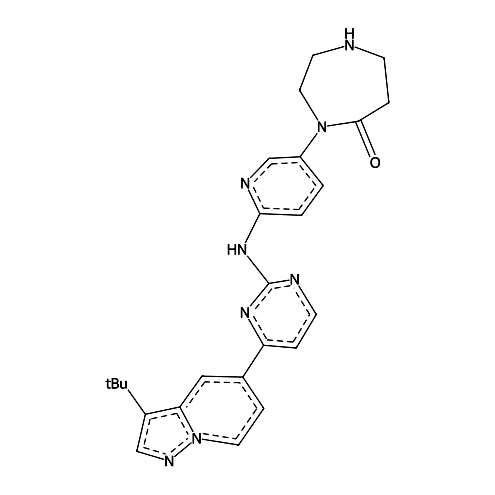 CC(C)(C)c1cnn2ccc(-c3ccnc(Nc4ccc(N5CCNCCC5=O)cn4)n3)cc12